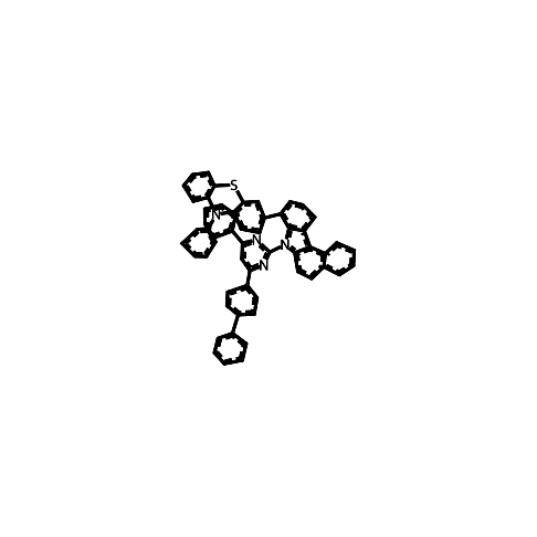 c1ccc(-c2ccc(-c3cc(-c4ccccc4)nc(-n4c5ccc6ccccc6c5c5cccc(-c6ccc7c(c6)Sc6ccccc6N7c6ccccc6)c54)n3)cc2)cc1